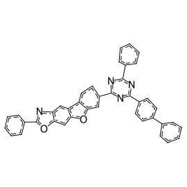 c1ccc(-c2ccc(-c3nc(-c4ccccc4)nc(-c4ccc5c(c4)oc4cc6oc(-c7ccccc7)nc6cc45)n3)cc2)cc1